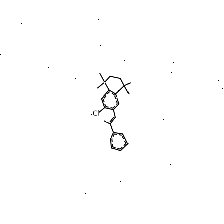 C/C(=C\c1cc2c(cc1Cl)C(C)(C)CCC2(C)C)c1ccccc1